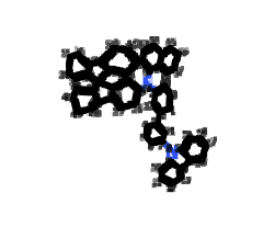 c1cc(-c2cccc(-n3c4ccccc4c4ccccc43)c2)cc(N(c2ccc3c(c2)C2(c4ccccc4-c4ccccc42)c2ccccc2-3)c2cccc3ccccc23)c1